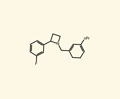 CCCC1=CCCC(CN2CCC2c2cccc(F)c2)=C1